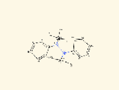 C[Si](C)(C)N(c1ccccc1)N(c1ccccc1)[Si](C)(C)C